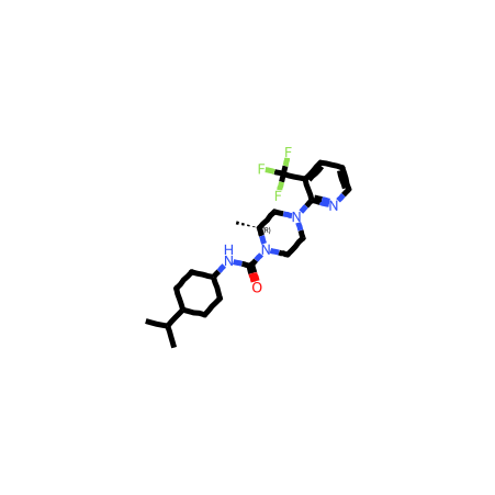 CC(C)C1CCC(NC(=O)N2CCN(c3ncccc3C(F)(F)F)C[C@H]2C)CC1